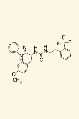 COc1ccc(CC(NC(=O)NCCc2ccccc2C(F)(F)F)c2nc3ccccc3[nH]2)cc1